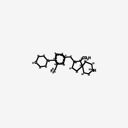 O=C(O)C1N(Cc2ccc(N3CCOCC3)c(C(F)(F)F)c2)CCC12CCNCC2